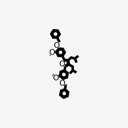 COc1cc(-c2oc(-c3ccc(OCc4ccccc4)c(OC)c3)c(CC(C)C)c2CC(C)C)ccc1OCc1ccccc1